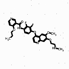 CCCOc1ccncc1C(=O)Nc1ccc(Oc2ccnc3cc(OCCNC)c(OC)cc23)c(F)c1F